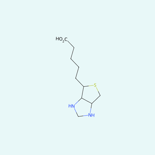 O=C(O)CCCCC1SCC2NCNC21